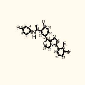 C=C(Nc1ccc(F)cc1)c1cc(-c2cccn3c(-c4cccc(F)c4F)ncc23)ccc1C